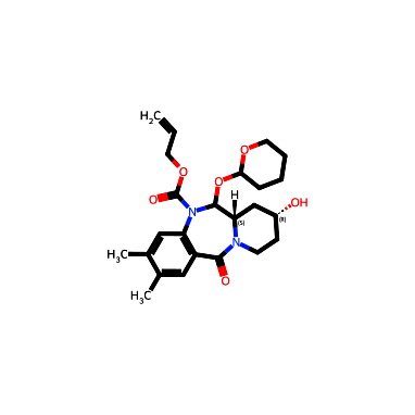 C=CCOC(=O)N1c2cc(C)c(C)cc2C(=O)N2CC[C@@H](O)C[C@H]2C1OC1CCCCO1